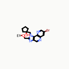 CCOCc1nc2cnc3cc(Br)cnc3c2n1CC1(O)CCCC1